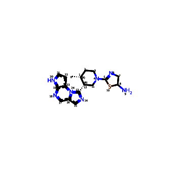 C[C@@H]1CCN(C2=NCC(N)S2)C[C@@H]1c1ncc2cnc3[nH]ccc3n12